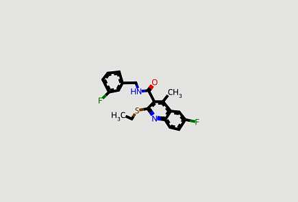 CCSc1nc2ccc(F)cc2c(C)c1C(=O)NCc1cccc(F)c1